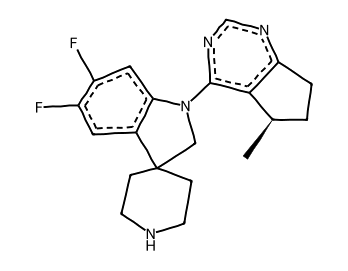 C[C@@H]1CCc2ncnc(N3CC4(CCNCC4)c4cc(F)c(F)cc43)c21